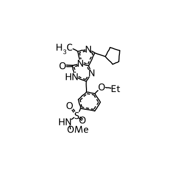 CCOc1ccc(S(=O)(=O)NOC)cc1-c1nc2c(C3CCCC3)nc(C)n2c(=O)[nH]1